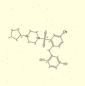 N#Cc1ccc(Sc2cc(Cl)ccc2Cl)c(S(=O)(=O)N2CCN(C3CCCC3)CC2)c1